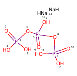 O=P(O)(O)OP(=O)(O)OP(=O)(O)O.[NaH].[NaH]